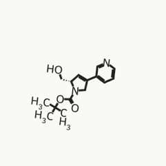 CC(C)(C)OC(=O)N1CC(c2cccnc2)=C[C@H]1CO